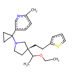 CCOC(C)[C@]1(CCc2cccs2)CCN(C2(c3ccc(C)nc3)CC2)C1